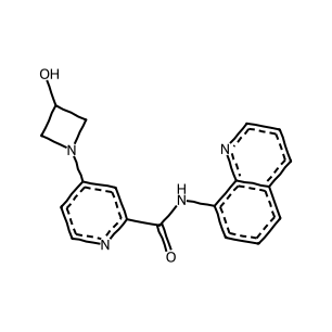 O=C(Nc1cccc2cccnc12)c1cc(N2CC(O)C2)ccn1